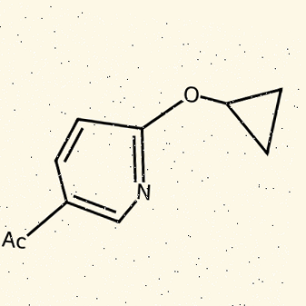 CC(=O)c1ccc(OC2CC2)nc1